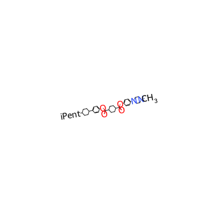 CCCC(C)C1CCC(c2ccc(OC(=O)C3CCC(C(=O)Oc4ccc(N5CCN(C)CC5)cc4)CC3)cc2)CC1